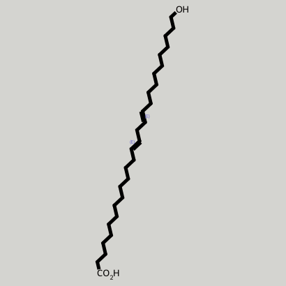 O=C(O)CCCCCCCCCCCC/C=C/C/C=C/CCCCCCCCCCO